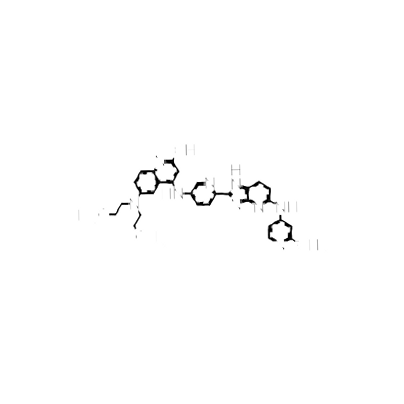 CCCN(CCC)c1ccc2nc(C)cc(Nc3ccc(-c4nc5nc(Nc6ccnc(C)c6)ccc5[nH]4)nc3)c2c1